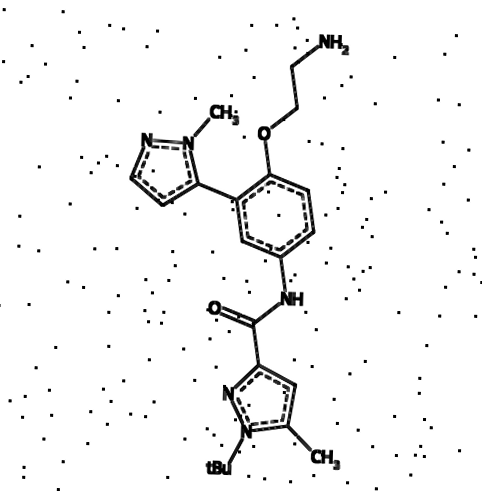 Cc1cc(C(=O)Nc2ccc(OCCN)c(-c3ccnn3C)c2)nn1C(C)(C)C